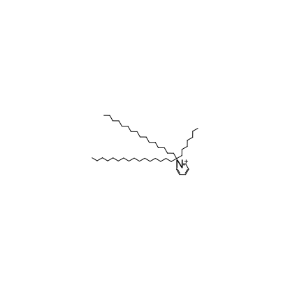 CCCCCCCCCCCCCCCCC(CCCCCCC)(CCCCCCCCCCCCCCCC)[n+]1ccccc1